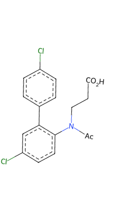 CC(=O)N(CCC(=O)O)c1ccc(Cl)cc1-c1ccc(Cl)cc1